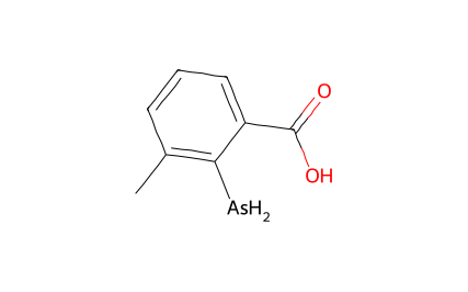 Cc1cccc(C(=O)O)c1[AsH2]